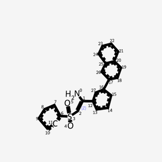 N/C(=C\S(=O)(=O)c1ccccc1)c1cccc(-c2ccc3ccccc3c2)c1